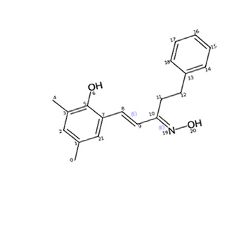 Cc1cc(C)c(O)c(/C=C/C(CCc2ccccc2)=N/O)c1